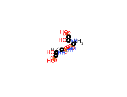 Cc1ccc(S(=O)(=O)NC(=O)NS(=O)(=O)c2ccc(C)c(Nc3ccc(O)c4cc(S(=O)(=O)O)ccc34)c2)cc1Nc1ccc(O)c2cc(S(=O)(=O)O)ccc12